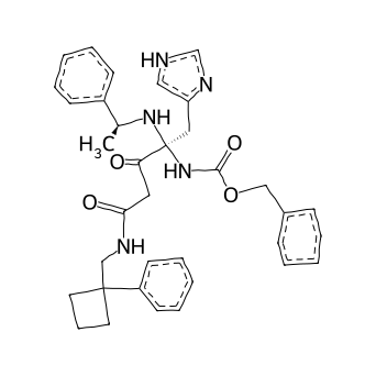 C[C@H](N[C@@](Cc1c[nH]cn1)(NC(=O)OCc1ccccc1)C(=O)CC(=O)NCC1(c2ccccc2)CCC1)c1ccccc1